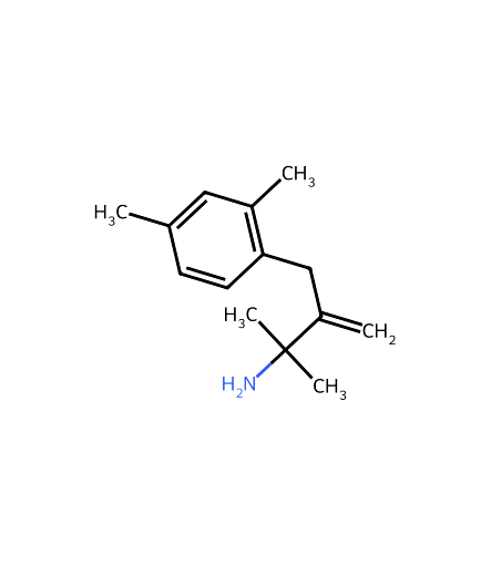 C=C(Cc1ccc(C)cc1C)C(C)(C)N